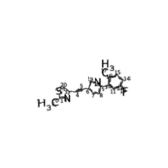 CC1=NC(C#Cc2ccc(-c3cc(F)ccc3C)nc2)CS1